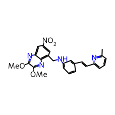 COc1nc2cc([N+](=O)[O-])cc(CNc3cccc(C=Cc4cccc(C)n4)c3)c2nc1OC